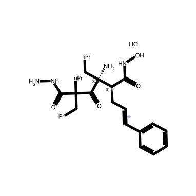 CCCC(CC(C)C)(C(=O)NN)C(=O)[C@@](N)(CC(C)C)[C@H](C/C=C/c1ccccc1)C(=O)NO.Cl